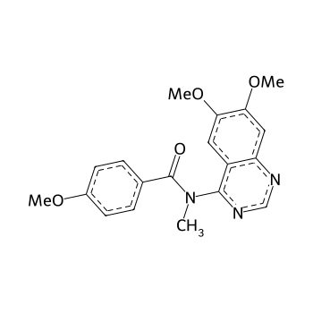 COc1ccc(C(=O)N(C)c2ncnc3cc(OC)c(OC)cc23)cc1